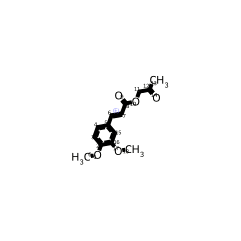 COc1ccc(/C=C/C(=O)OCC(C)=O)cc1OC